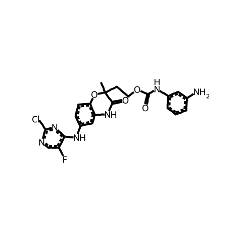 CC1(CCOC(=O)Nc2cccc(N)c2)Oc2ccc(Nc3nc(Cl)ncc3F)cc2NC1=O